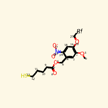 COc1cc(COC(=O)CCCCS)c([N+](=O)[O-])cc1O[CH2][Rf]